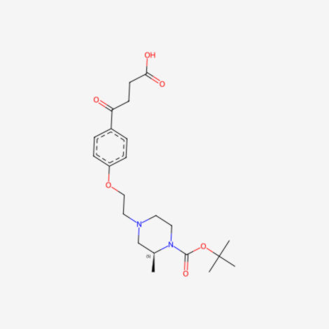 C[C@H]1CN(CCOc2ccc(C(=O)CCC(=O)O)cc2)CCN1C(=O)OC(C)(C)C